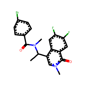 CC(c1cn(C)c(=O)c2cc(F)c(F)cc12)N(C)C(=O)c1ccc(Br)cc1